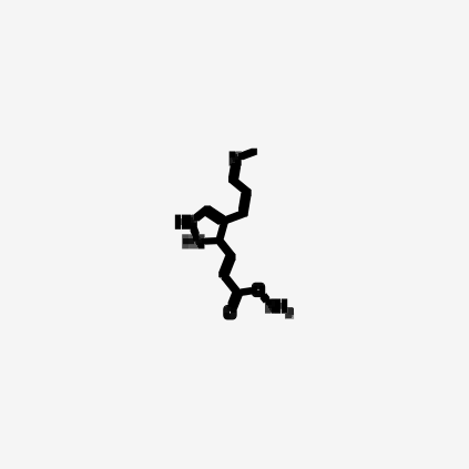 C/N=C\C=C/C1=CNNC1/C=C/C(=O)ON